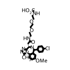 COc1ccc2c(c1)C(c1ccc(Cl)cc1)=N[C@@H](CC(=O)NCCOCCOCCNC(=O)O)c1nnc(C)n1-2